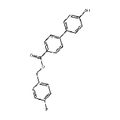 O=C(OCc1ccc(F)cc1)c1ccc(-c2ccc(O)cc2)cc1